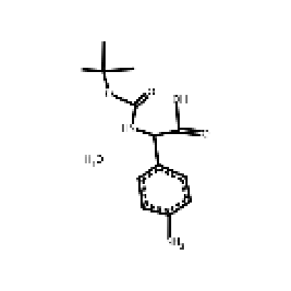 CC(C)(C)OC(=O)NC(C(=O)O)c1ccc(N)cc1.O